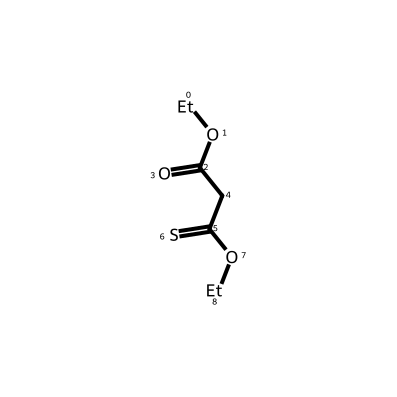 CCOC(=O)CC(=S)OCC